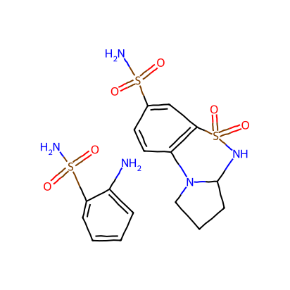 NS(=O)(=O)c1ccc2c(c1)S(=O)(=O)NC1CCCN21.Nc1ccccc1S(N)(=O)=O